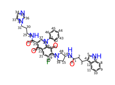 O=C(CCc1c[nH]c2ccccc12)NC1CCN(c2c(F)cc3c(=O)c(C(=O)NCCCn4ccnc4)cn4c3c2Oc2ccccc2-4)C1